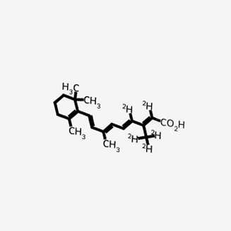 [2H]C(=CC=C(C)C=CC1=C(C)CCCC1(C)C)C(=C([2H])C(=O)O)C([2H])([2H])[2H]